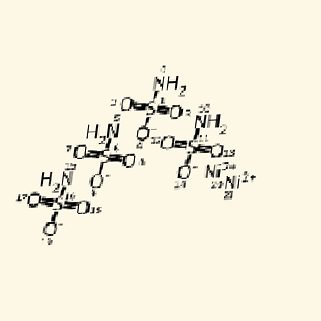 NS(=O)(=O)[O-].NS(=O)(=O)[O-].NS(=O)(=O)[O-].NS(=O)(=O)[O-].[Ni+2].[Ni+2]